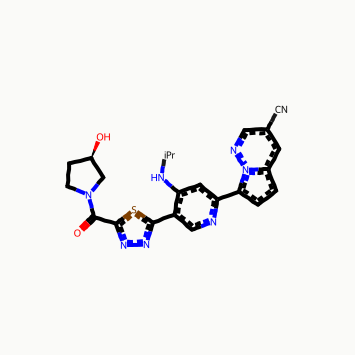 CC(C)Nc1cc(-c2ccc3cc(C#N)cnn23)ncc1-c1nnc(C(=O)N2CC[C@@H](O)C2)s1